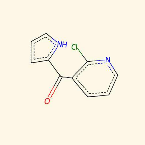 O=C(c1ccc[nH]1)c1cccnc1Cl